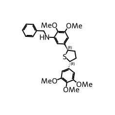 COc1cc([C@H]2CC[C@H](c3cc(OC)c(OC)c(OC)c3)S2)cc(NCc2ccccc2)c1OC